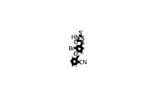 N#Cc1ccccc1COc1ccc(/C=C2/SC(=S)NC2=O)cc1Br